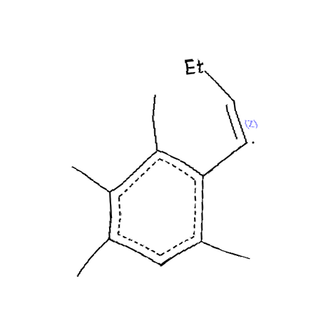 CC/C=[C]\c1c(C)cc(C)c(C)c1C